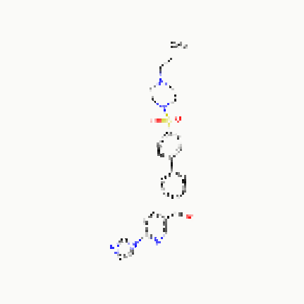 COCCN1CCN(S(=O)(=O)c2ccc(-c3ccc(C(=O)c4ccc(-n5ccnc5)nc4)cc3)cc2)CC1